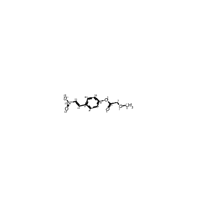 COCC(=O)Oc1ccc(C=C[N+](=O)[O-])cc1